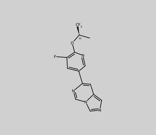 C[C@@H](Oc1ncc(-c2cc3cncn3cn2)cc1F)C(F)(F)F